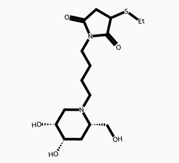 CCSC1CC(=O)N(CCCCN2C[C@@H](O)[C@@H](O)C[C@H]2CO)C1=O